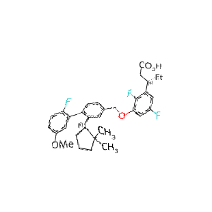 CC[C@@H](CC(=O)O)c1cc(F)cc(OCc2ccc(-c3cc(OC)ccc3F)c([C@@H]3CCCC3(C)C)c2)c1F